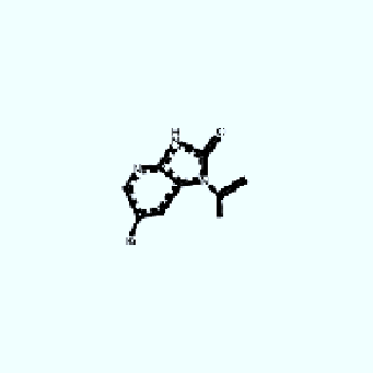 C=C(C)n1c(=O)[nH]c2ncc(Br)cc21